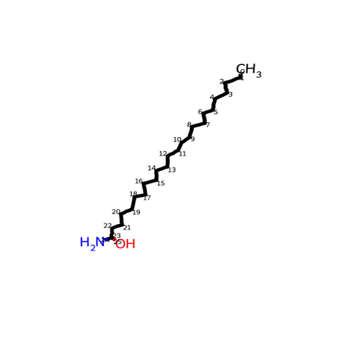 CCCCCCCCCCCCCCCCCCCCCCCC(N)O